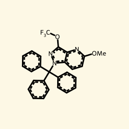 COc1ccc2c(n1)c(OC(F)(F)F)nn2C(c1ccccc1)(c1ccccc1)c1ccccc1